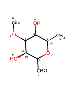 CCCCOC1C(O)[C@H](C)OC(C=O)[C@H]1O